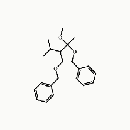 COC(C)(OCc1ccccc1)C(COCc1ccccc1)C(C)C